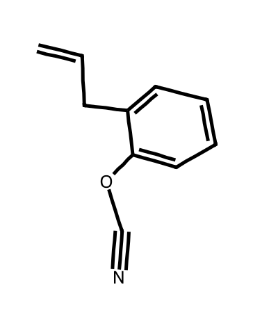 C=CCc1ccccc1OC#N